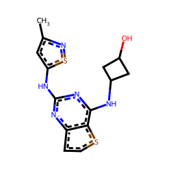 Cc1cc(Nc2nc(NC3CC(O)C3)c3sccc3n2)sn1